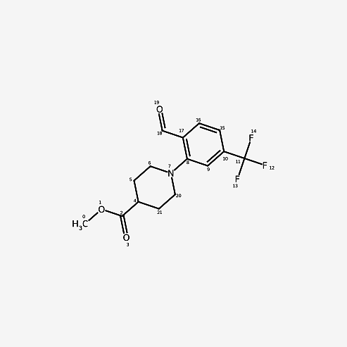 COC(=O)C1CCN(c2cc(C(F)(F)F)ccc2C=O)CC1